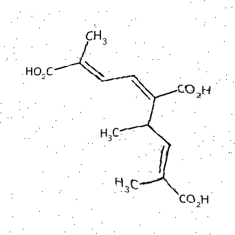 CC(=CC=C(C(=O)O)C(C)C=C(C)C(=O)O)C(=O)O